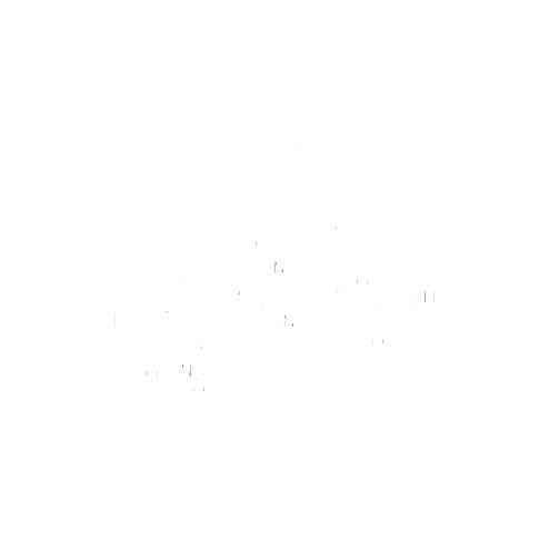 Cc1ccc(-c2ncc(OC(=O)O)c(Oc3ccccc3Cl)n2)cc1[N+](=O)[O-]